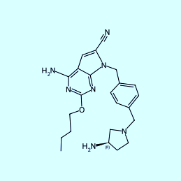 CCCCOc1nc(N)c2cc(C#N)n(Cc3ccc(CN4CC[C@@H](N)C4)cc3)c2n1